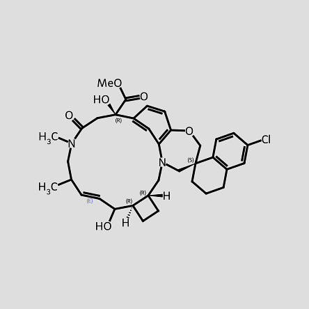 COC(=O)[C@@]1(O)CC(=O)N(C)CC(C)/C=C/C(O)[C@@H]2CC[C@H]2CN2C[C@@]3(CCCc4cc(Cl)ccc43)COc3ccc1cc32